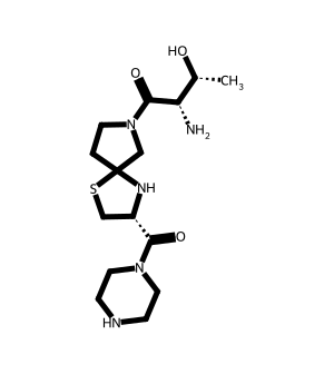 C[C@@H](O)[C@H](N)C(=O)N1CCC2(C1)N[C@H](C(=O)N1CCNCC1)CS2